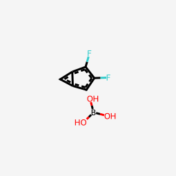 Fc1cc2cc-2c1F.OB(O)O